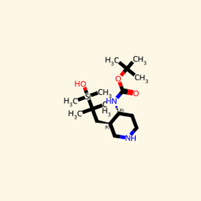 CC(C)(C)OC(=O)N[C@@H]1CCNC[C@H]1CC(C)(C)[Si](C)(C)O